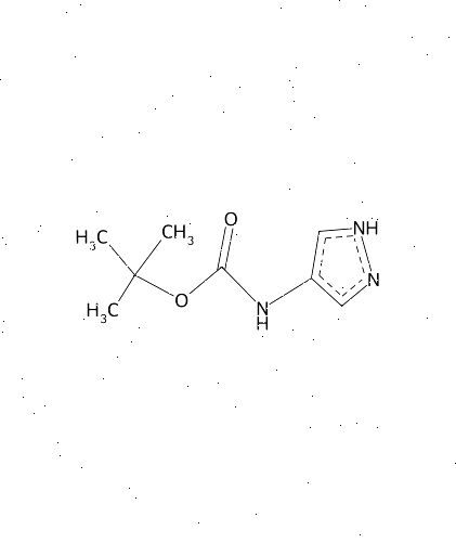 CC(C)(C)OC(=O)Nc1cn[nH]c1